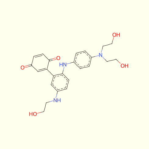 O=C1C=CC(=O)C(c2cc(NCCO)ccc2Nc2ccc(N(CCO)CCO)cc2)=C1